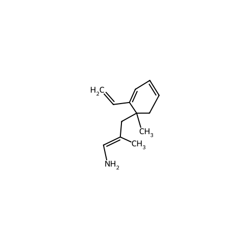 C=CC1=CC=CCC1(C)C/C(C)=C/N